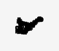 Cc1c(Cl)c2c(Cl)c(C)c1-c1c(-c3ccc(F)cc3)sc3ncnc(c13)O[C@@H](C(=O)OC(C)(C)C)Cc1cc(ccc1OCc1ccnc(-c3ccc(OC[C@@H]4COCCO4)cc3)n1)OC[C@@H](CN1CCN(C)CC1)O2